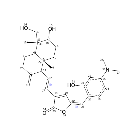 C=C1CCC2[C@](C)(CC[C@@H](O)[C@@]2(C)CO)C1/C=C/C1=CC(=C\c2ccc(N(C)C)cc2O)/OC1=O